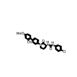 COc1ccc(-c2ccc(N3CCC[C@@H](NC(=O)Nc4ccc(Cl)cc4)C3=O)cc2)c(C#N)c1